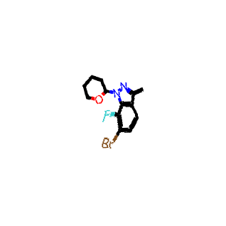 Cc1nn(C2CCCCO2)c2c(F)c(Br)ccc12